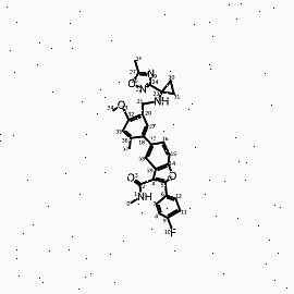 CNC(=O)c1c(-c2ccc(F)cc2)oc2ccc(-c3cc(CNC4(c5noc(C)n5)CC4)c(OC)cc3C)cc12